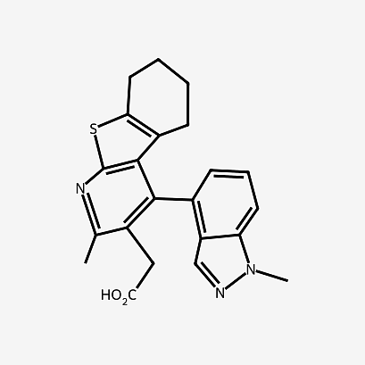 Cc1nc2sc3c(c2c(-c2cccc4c2cnn4C)c1CC(=O)O)CCCC3